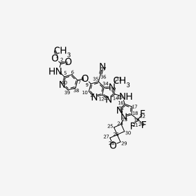 COC(=O)Nc1cc(Oc2cnc3nc(Nc4cc(C(F)(F)F)n(C5CC6(COC6)C5)n4)n(C)c3c2C#N)ccn1